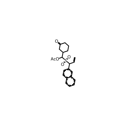 C=CC(c1ccc2ccccc2c1)S(=O)(=O)C(OC(C)=O)C1CCCC(=O)C1